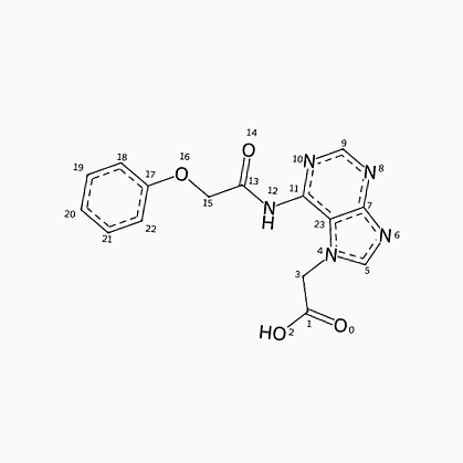 O=C(O)Cn1cnc2ncnc(NC(=O)COc3ccccc3)c21